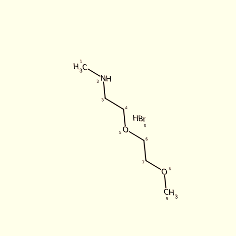 Br.CNCCOCCOC